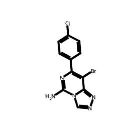 Nc1nc(-c2ccc(Cl)cc2)c(Br)c2nncn12